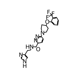 O=C(NCCc1c[nH]cn1)c1ccc(N2CCC(Oc3ccccc3C(F)(F)F)CC2)nn1